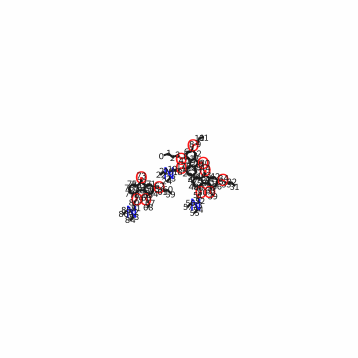 CCCCOc1cc(OCCC)cc2c1-c1c(OCCN(CC)CC)cccc1C2=O.CCCOc1cc(OC)c2c(c1)C(=O)c1cccc(OCCN(CC)CC)c1-2.CCCOc1cc(OCC)c2c(c1)C(=O)c1cccc(OCCN(CC)CC)c1-2